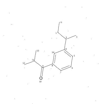 CCC(C)c1cccc(C(=O)C(C)C)c1